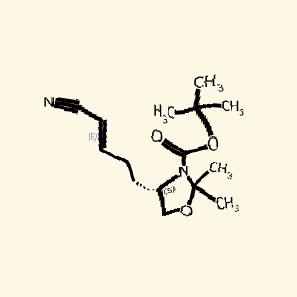 CC(C)(C)OC(=O)N1[C@@H](CC/C=C/C#N)COC1(C)C